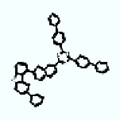 c1ccc(-c2ccc(-c3nc(-c4ccc(-c5ccccc5)cc4)nc(-c4ccc5ccc(-c6cccc7oc8ccc(-c9ccccc9)cc8c67)cc5c4)n3)cc2)cc1